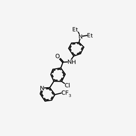 CCN(CC)c1ccc(NC(=O)c2ccc(-c3ncccc3C(F)(F)F)c(Cl)c2)cc1